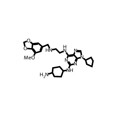 COc1cc(CNCCNc2nc(NC3CCC(N)CC3)nc3c2ncn3C2CCCC2)cc2c1OCO2